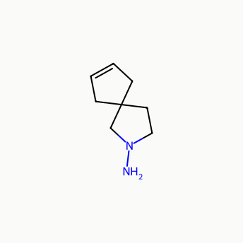 NN1CCC2(CC=CC2)C1